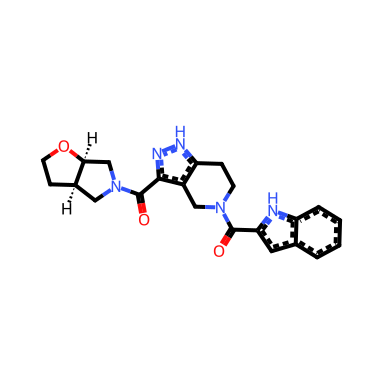 O=C(c1cc2ccccc2[nH]1)N1CCc2[nH]nc(C(=O)N3C[C@H]4CCO[C@H]4C3)c2C1